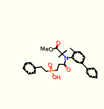 COC(=O)C(C)(C)N(C(=O)CCP(=O)(O)CCc1ccccc1)c1cc(-c2ccccc2)ccc1C